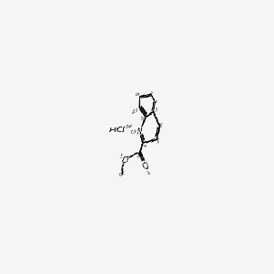 COC(=O)c1ccc2ccccc2n1.Cl